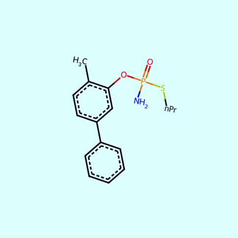 CCCSP(N)(=O)Oc1cc(-c2ccccc2)ccc1C